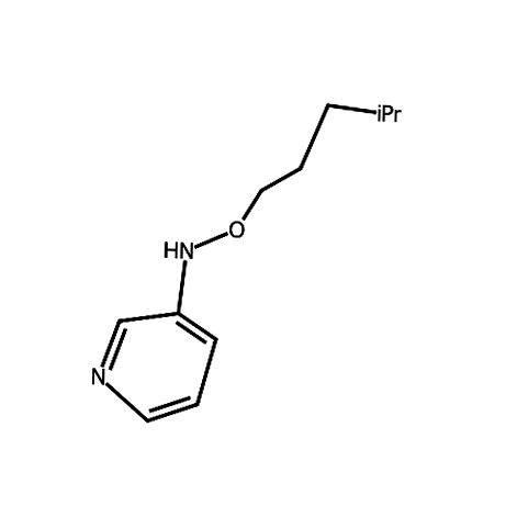 CC(C)CCCONc1cccnc1